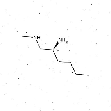 CCCC[C@H](N)CNC